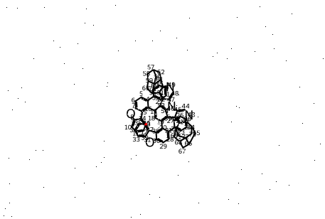 c1ccc(-c2ccc3oc4ccccc4c3c2-c2cc(-c3c(-c4ccccc4)ccc4oc5ccccc5c34)c3c4c5c(ncc4n4c6cnc7c(c6c2c34)C2CC3CC(CC7C3)C2)C2CC3CC4CC5CC34C2)cc1